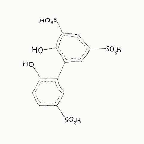 O=S(=O)(O)c1ccc(O)c(-c2cc(S(=O)(=O)O)cc(S(=O)(=O)O)c2O)c1